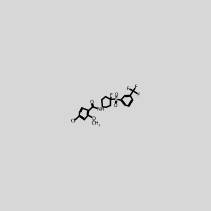 COc1cc(Cl)ccc1C(=O)NC1CCC(F)(S(=O)(=O)c2cccc(C(F)(F)F)c2)CC1